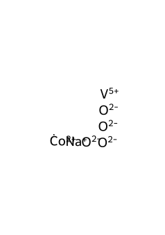 [Co+2].[Na+].[O-2].[O-2].[O-2].[O-2].[V+5]